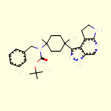 CC(C)(C)OC(=O)N(Cc1ccccc1)C1(C)CCC(C)(c2n[nH]c3cnc4c(c23)CCN4)CC1